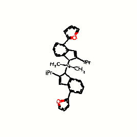 CC(C)C1=Cc2c(-c3ccco3)cccc2C1[Si](C)(C)C1C(C(C)C)=Cc2c(-c3ccco3)cccc21